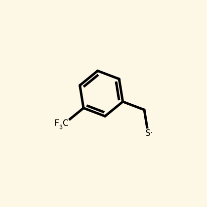 FC(F)(F)c1cccc(C[S])c1